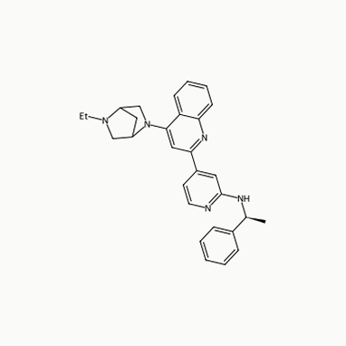 CCN1CC2CC1CN2c1cc(-c2ccnc(N[C@@H](C)c3ccccc3)c2)nc2ccccc12